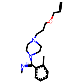 C=CCOCCCN1CCN(/C(=N/C)c2ccccc2C)CC1